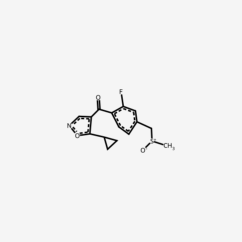 C[S+]([O-])Cc1ccc(C(=O)c2cnoc2C2CC2)c(F)c1